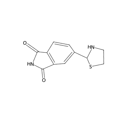 O=C1NC(=O)c2cc(C3NCCS3)ccc21